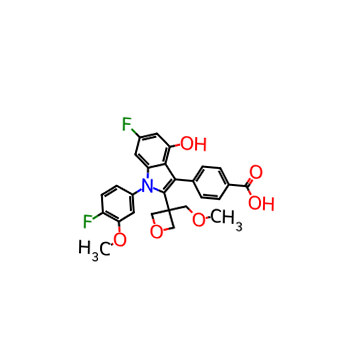 COCC1(c2c(-c3ccc(C(=O)O)cc3)c3c(O)cc(F)cc3n2-c2ccc(F)c(OC)c2)COC1